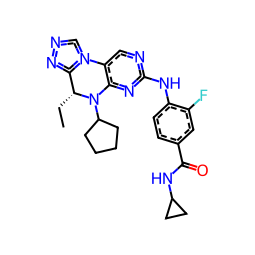 CC[C@@H]1c2nncn2-c2cnc(Nc3ccc(C(=O)NC4CC4)cc3F)nc2N1C1CCCC1